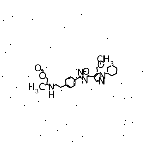 COCc1c(-c2nc(-c3ccc(CCNC(C)COC=O)cc3)no2)cnn1C1CCCCC1